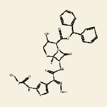 CON=C(C(=O)N[C@@H]1C(=O)N2C(C(=O)OC(c3ccccc3)c3ccccc3)C(O)CS[C@@H]12)c1csc(NC(=O)OC(C)(C)C)n1